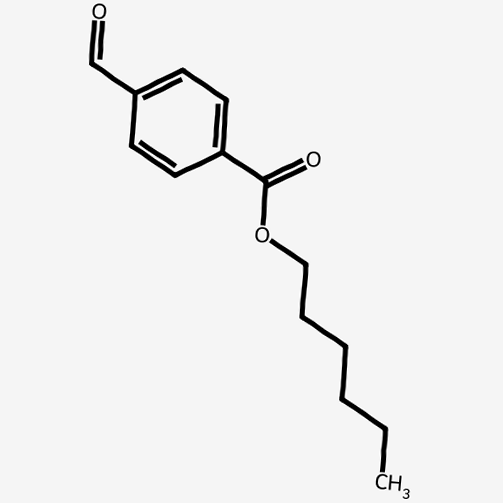 CCCCCCOC(=O)c1ccc(C=O)cc1